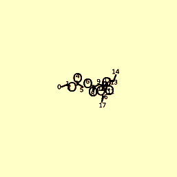 CCOC(=O)COC(=O)CP(=O)(OCC)OCC